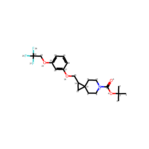 CC(C)(C)OC(=O)N1CCC2(CC1)CC2COc1cccc(OCC(F)(F)F)c1